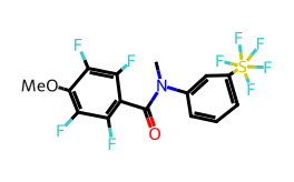 COc1c(F)c(F)c(C(=O)N(C)c2cccc(S(F)(F)(F)(F)F)c2)c(F)c1F